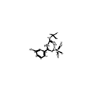 CC(C)(C)OC(=O)NC(COS(C)(=O)=O)c1cccc(F)c1